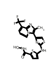 Cc1nc2c(C(F)(F)F)cccn2c1-c1csc(Nc2ccc(C(=O)NO)s2)n1